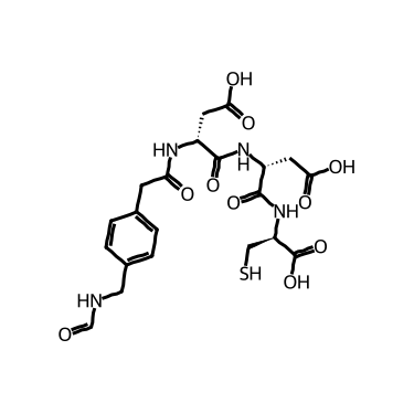 O=CNCc1ccc(CC(=O)N[C@H](CC(=O)O)C(=O)N[C@H](CC(=O)O)C(=O)N[C@H](CS)C(=O)O)cc1